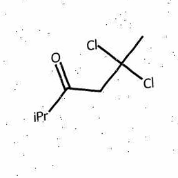 CC(C)C(=O)CC(C)(Cl)Cl